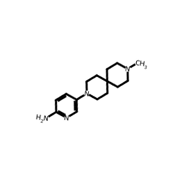 CN1CCC2(CC1)CCN(c1ccc(N)nc1)CC2